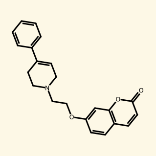 O=c1ccc2ccc(OCCN3CC=C(c4ccccc4)CC3)cc2o1